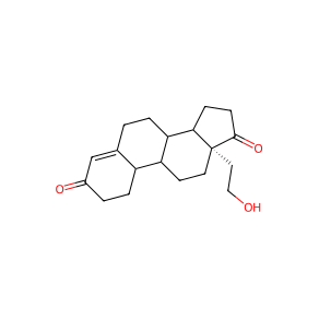 O=C1C=C2CCC3C(CC[C@]4(CCO)C(=O)CCC34)C2CC1